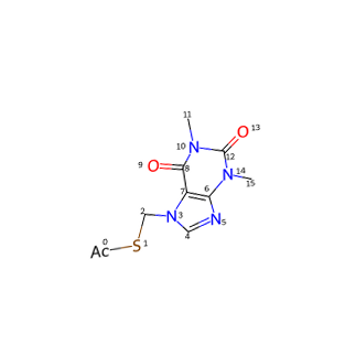 CC(=O)SCn1cnc2c1c(=O)n(C)c(=O)n2C